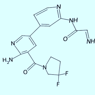 N=CC(=O)Nc1cc(-c2cnc(N)c(C(=O)N3CCC(F)(F)C3)c2)ccn1